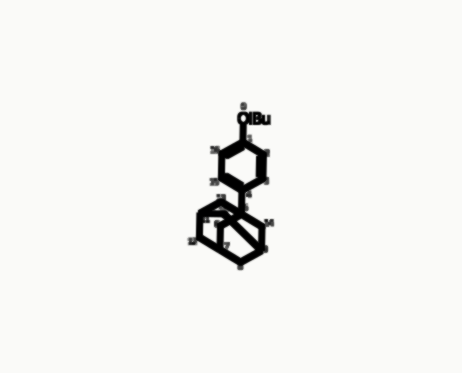 CC(C)COc1ccc(C23CC4CC(CC(C4)C2)C3)cc1